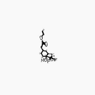 CCOC(=O)CC1CCC(O)(C(F)(F)F)CC1